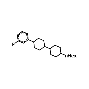 CCCCCCC1CCC(C2CCC(c3cccc(F)c3)CC2)CC1